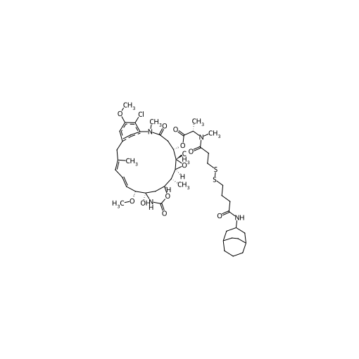 COc1cc2cc(c1Cl)N(C)C(=O)C[C@H](OC(=O)[C@H](C)N(C)C(=O)CCSSCCCC(=O)NC1CC3CCCC(CC3)C1)[C@]1(C)O[C@H]1[C@H](C)[C@@H]1C[C@@](O)(NC(=O)O1)[C@H](OC)/C=C/C=C(\C)C2